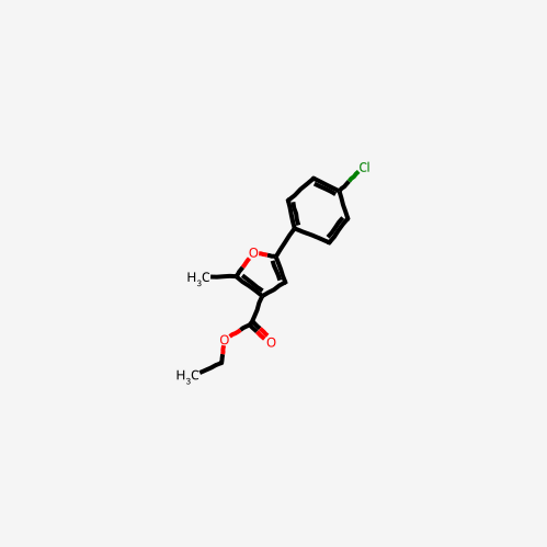 CCOC(=O)c1cc(-c2ccc(Cl)cc2)oc1C